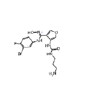 NCCCNC(=O)Nc1cocc1/C(=N/O)Nc1ccc(F)c(Br)c1